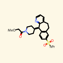 CCCS(=O)(=O)c1ccc2c(c1)CCc1cccnc1C2=C1CCN(C(=O)COC)CC1